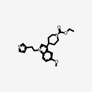 CCOC(=O)N1CCC(c2cn(CCc3ccsc3)c3ccc(OC)cc23)CC1